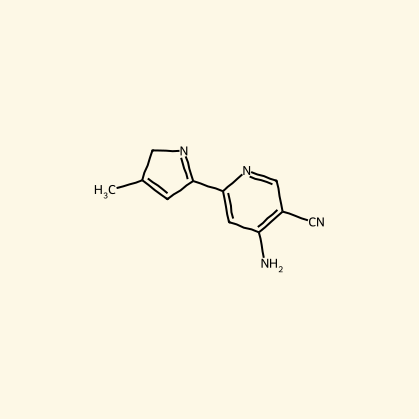 CC1=CC(c2cc(N)c(C#N)cn2)=NC1